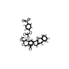 CC[C@@]1(OC(=O)Oc2ccc([N+](=O)[O-])cc2)C(=O)OCc2c1cc1n(c2=O)Cc2cc3ccccc3nc2-1